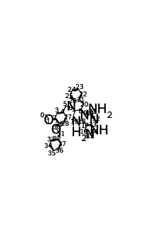 COc1cc(CN2CC(N3C(N)=Nc4[nH]ncc4C3N)Cc3ccccc32)ccc1OCc1ccccc1